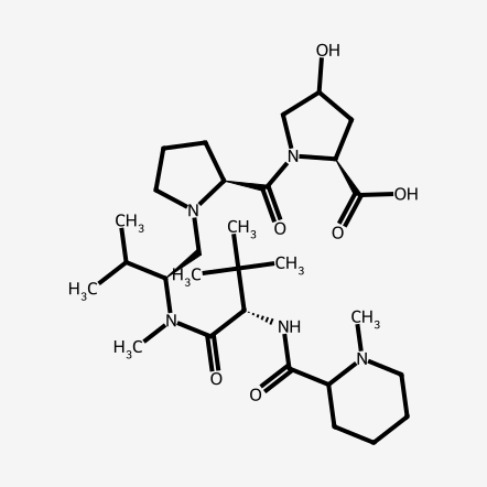 CC(C)[C@@H](CN1CCC[C@H]1C(=O)N1CC(O)C[C@H]1C(=O)O)N(C)C(=O)[C@@H](NC(=O)C1CCCCN1C)C(C)(C)C